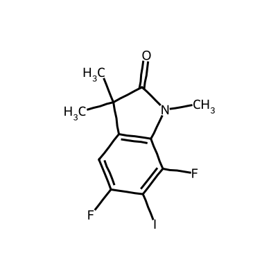 CN1C(=O)C(C)(C)c2cc(F)c(I)c(F)c21